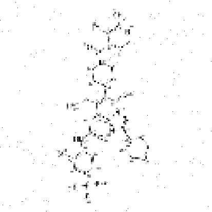 CCc1c(N2CCN(C(=O)c3ncnc(C)c3O)CC2)c(=O)n2nc(C3=CCOCC3)nc2n1CC(=O)Nc1ccc(C(F)(F)F)cc1Br